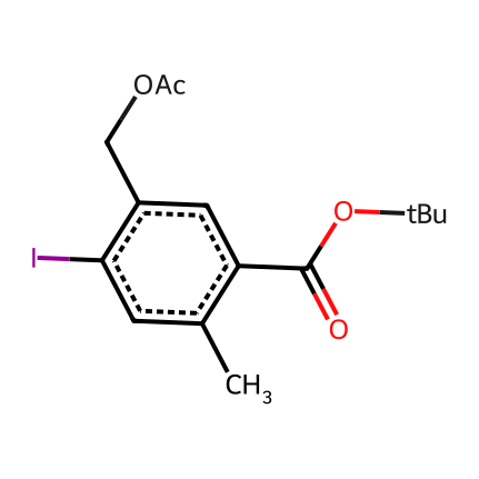 CC(=O)OCc1cc(C(=O)OC(C)(C)C)c(C)cc1I